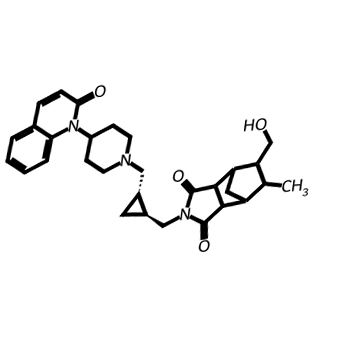 CC1C(CO)C2CC1C1C(=O)N(C[C@H]3C[C@@H]3CN3CCC(n4c(=O)ccc5ccccc54)CC3)C(=O)C21